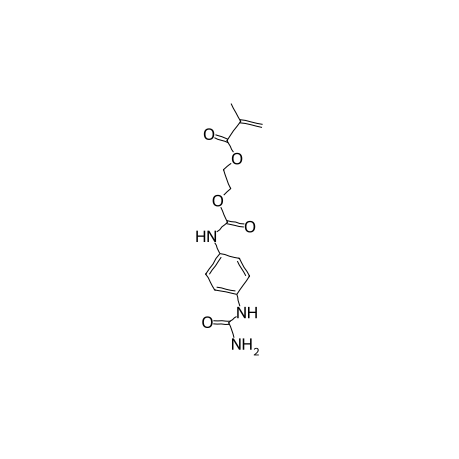 C=C(C)C(=O)OCCOC(=O)Nc1ccc(NC(N)=O)cc1